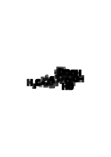 CCc1ccc2sc(Cc3cc([C@@H]4O[C@H](CO)[C@@H](O)[C@H](O)[C@H]4O)c4ccccc4c3)cc2c1